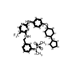 CN(c1cccc(CNc2nc(Nc3ccc(OC4CCC(C5CCCC5)CC4)cc3)ncc2C(F)(F)F)c1)S(C)(=O)=O